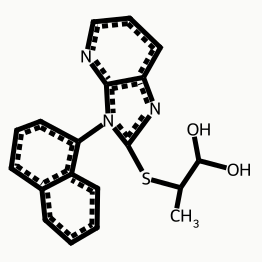 CC(Sc1nc2cccnc2n1-c1cccc2ccccc12)C(O)O